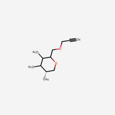 C#CCOCC1OC[C@H](OC(C)=O)C(OC(C)=O)C1OC(C)=O